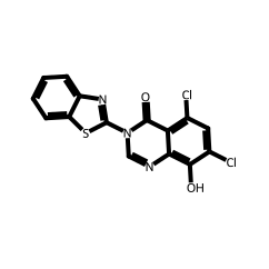 O=c1c2c(Cl)cc(Cl)c(O)c2ncn1-c1nc2ccccc2s1